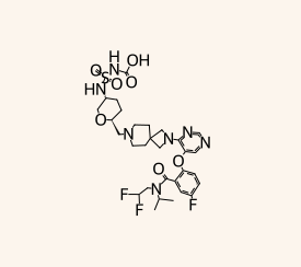 CC(C)N(CC(F)F)C(=O)c1cc(F)ccc1Oc1cncnc1N1CC2(CCN(C[C@@H]3CC[C@@H](NS(=O)(=O)NC(=O)O)CO3)CC2)C1